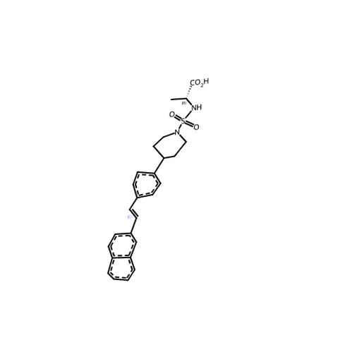 C[C@@H](NS(=O)(=O)N1CCC(c2ccc(/C=C/c3ccc4ccccc4c3)cc2)CC1)C(=O)O